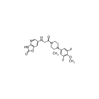 COc1c(F)cc(N2CCN(C(=O)CNc3cnc4[nH]c(=O)oc4c3)C[C@H]2C)cc1F